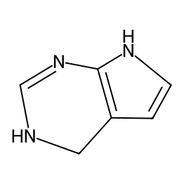 C1=Nc2[nH]ccc2CN1